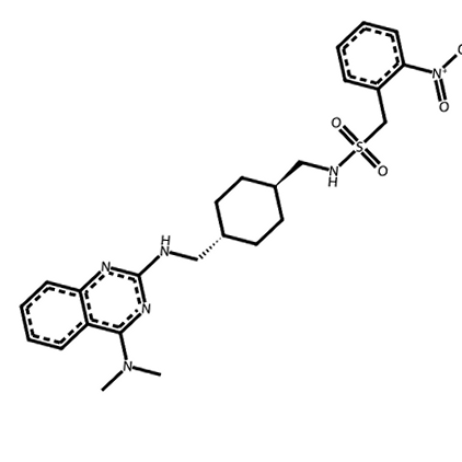 CN(C)c1nc(NC[C@H]2CC[C@H](CNS(=O)(=O)Cc3ccccc3[N+](=O)[O-])CC2)nc2ccccc12